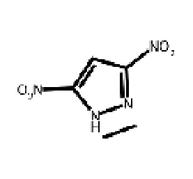 CC.O=[N+]([O-])c1cc([N+](=O)[O-])[nH]n1